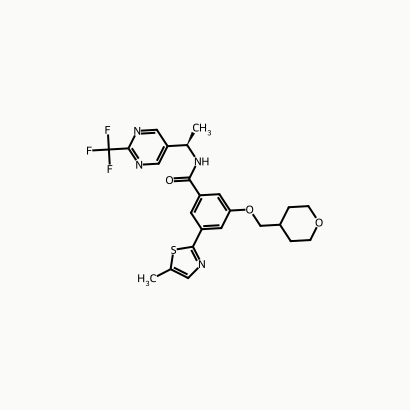 Cc1cnc(-c2cc(OCC3CCOCC3)cc(C(=O)N[C@H](C)c3cnc(C(F)(F)F)nc3)c2)s1